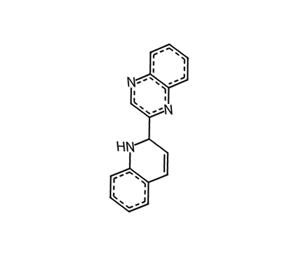 C1=CC(c2cnc3ccccc3n2)Nc2ccccc21